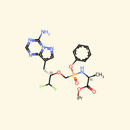 CC(C)OC(=O)[C@H](C)NP(=O)(CO[C@@H](Cc1cnn2c(N)ncnc12)C(F)F)Oc1ccccc1